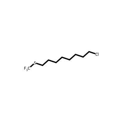 FC(F)(F)SCCCCCCCCCl